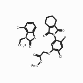 CCCCCOC(=O)COc1cc(N2C(=O)C3=C(CCCC3)C2=O)c(F)cc1Cl.O=C(O)Cn1c(=O)sc2cccc(Cl)c21